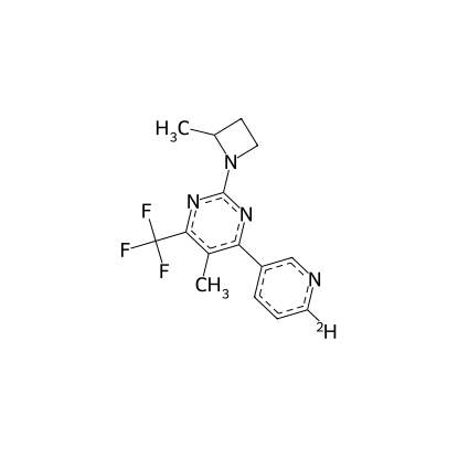 [2H]c1ccc(-c2nc(N3CCC3C)nc(C(F)(F)F)c2C)cn1